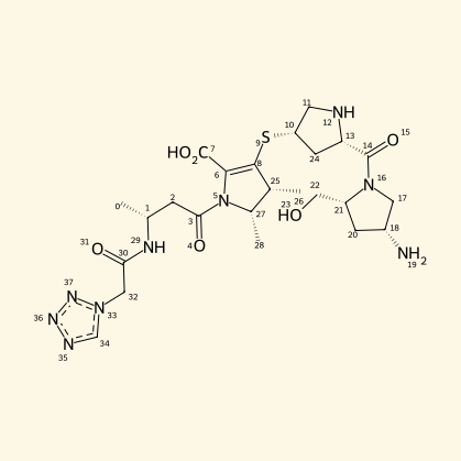 C[C@H](CC(=O)N1C(C(=O)O)=C(S[C@@H]2CN[C@H](C(=O)N3C[C@H](N)C[C@@H]3CO)C2)[C@H](C)[C@@H]1C)NC(=O)Cn1cnnn1